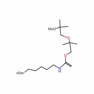 C=C(NCCCCCCCCCCCCCCC)OCC(C)(C)OCC(C)(C)OC